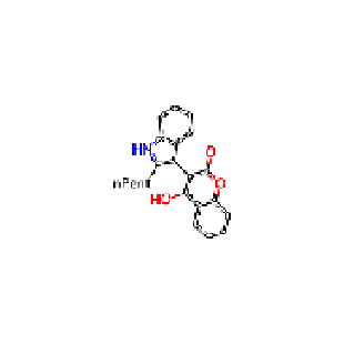 CCCCCc1[nH]c2ccccc2c1-c1c(O)c2ccccc2oc1=O